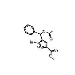 COC(=O)c1cc(C(OC(C)=O)c2ccccc2)c(Br)[nH]1